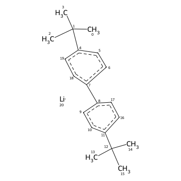 CC(C)(C)c1ccc(-c2ccc(C(C)(C)C)cc2)cc1.[Li]